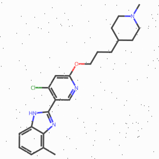 Cc1cccc2[nH]c(-c3cnc(OCCCC4CCN(C)CC4)cc3Cl)nc12